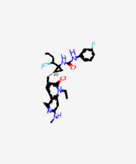 CCC(F)C1(NC(=O)Nc2cccc(F)c2)C[C@@H]1Cc1cc2cnc(NC)cc2n(CC)c1=O